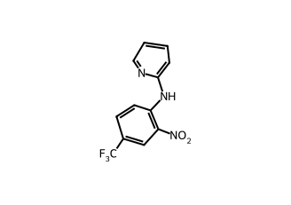 O=[N+]([O-])c1cc(C(F)(F)F)ccc1Nc1ccccn1